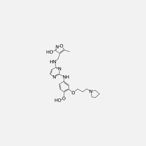 Cc1onc(O)c1CNc1ccnc(Nc2ccc(OO)c(OCCCN3CCCC3)c2)n1